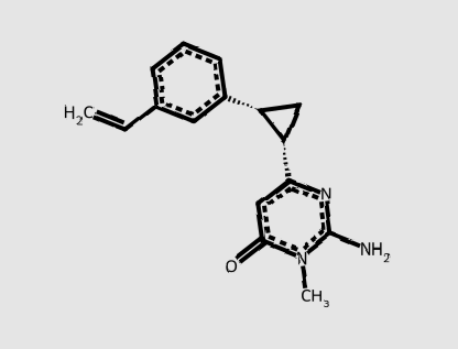 C=Cc1cccc([C@@H]2C[C@@H]2c2cc(=O)n(C)c(N)n2)c1